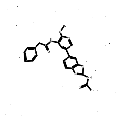 COc1ncc(-c2ccc3nc(NC(C)=O)sc3c2)cc1NC(=O)Cc1ccccc1